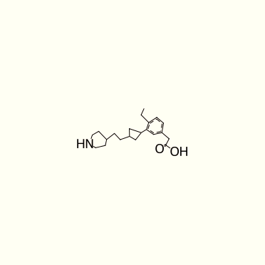 CCc1ccc(CC(=O)O)cc1C1CC(CCC2CCNCC2)C1